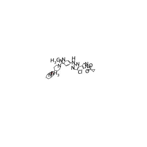 CN1C2CCC1CN(C1CCN(c3c4ccc(Nc5ncc(Cl)c(-c6cnn(S(=O)(=O)C7CC7)c6)n5)cc4nn3C)CC1)C2